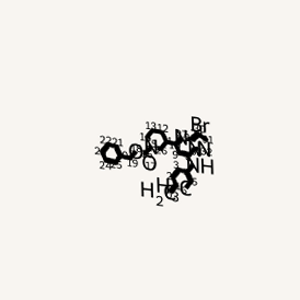 C=C/C=C\C(=C/C)Nc1cc(C2CCCN(C(=O)OCc3ccccc3)C2)nc2c(Br)cnn12